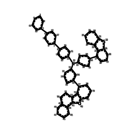 c1ccc(-c2ccc(-c3ccc(N(c4ccc(-c5cccc6sc7ccccc7c56)cc4)c4cccc(-c5cccc6oc7c8ccccc8ccc7c56)c4)cc3)cc2)cc1